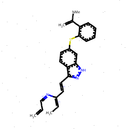 C=C\C=N/C(=C\C)/C=C/c1n[nH]c2cc(Sc3ccccc3C(=C)NC)ccc12